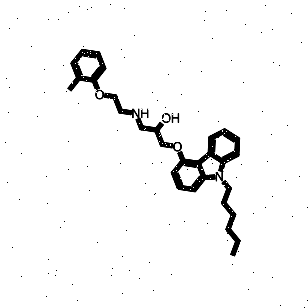 CCCCCCn1c2ccccc2c2c(OCC(O)CNCCOc3ccccc3C)cccc21